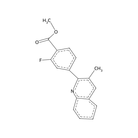 COC(=O)c1ccc(-c2nc3ccccc3cc2C)cc1F